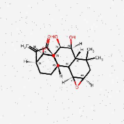 C=C1C(=O)[C@]23[C@H](O)[C@H]1CC[C@H]2[C@@]12CO[C@]3(O)[C@@H](O)[C@@H]1C(C)(C)C[C@H]1O[C@H]12